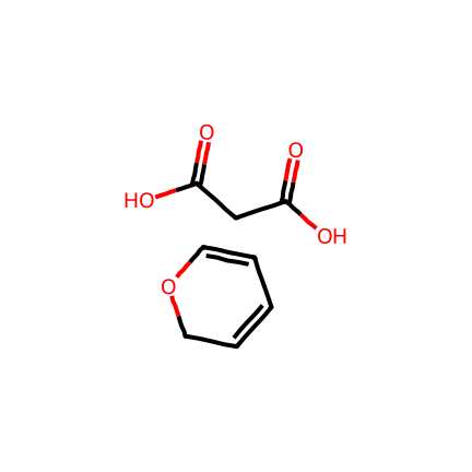 C1=CCOC=C1.O=C(O)CC(=O)O